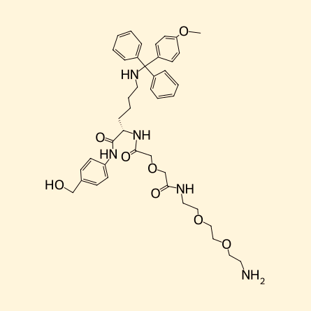 COc1ccc(C(NCCCC[C@H](NC(=O)COCC(=O)NCCOCCOCCN)C(=O)Nc2ccc(CO)cc2)(c2ccccc2)c2ccccc2)cc1